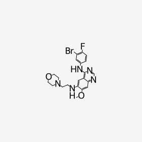 COc1cc2ncnc(Nc3ccc(F)c(Br)c3)c2cc1NCCN1CCOCC1